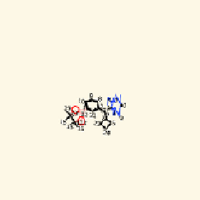 Cn1cnnc1[C@@H](c1cccc(B2OC(C)(C)C(C)(C)O2)c1)C1CCC1